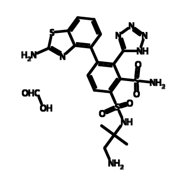 CC(C)(CN)NS(=O)(=O)c1ccc(-c2cccc3sc(N)nc23)c(-c2nnn[nH]2)c1S(N)(=O)=O.O=CO